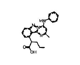 CCCC(C(=O)O)c1cccc2nn3c(Nc4ccccc4)cc(C)nc3c12